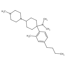 CCCCc1ccc(C2(N(C)C)CCC(N3CCN(C)CC3)CC2)c(C)c1